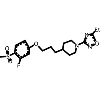 CCc1nc(N2CCC(CCCOc3ccc(S(C)(=O)=O)c(F)c3)CC2)no1